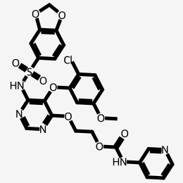 COc1ccc(Cl)c(Oc2c(NS(=O)(=O)c3ccc4c(c3)OCO4)ncnc2OCCOC(=O)Nc2cccnc2)c1